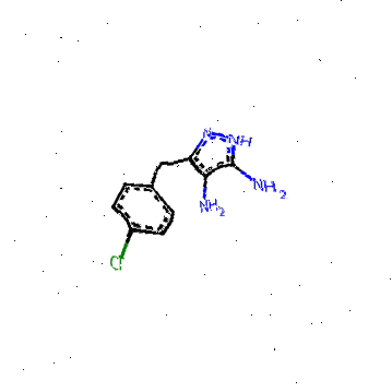 Nc1[nH]nc(Cc2ccc(Cl)cc2)c1N